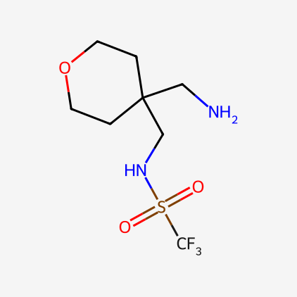 NCC1(CNS(=O)(=O)C(F)(F)F)CCOCC1